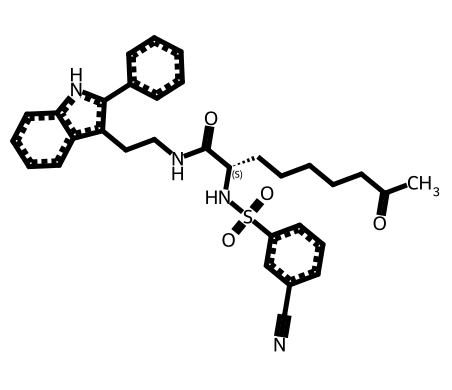 CC(=O)CCCCC[C@H](NS(=O)(=O)c1cccc(C#N)c1)C(=O)NCCc1c(-c2ccccc2)[nH]c2ccccc12